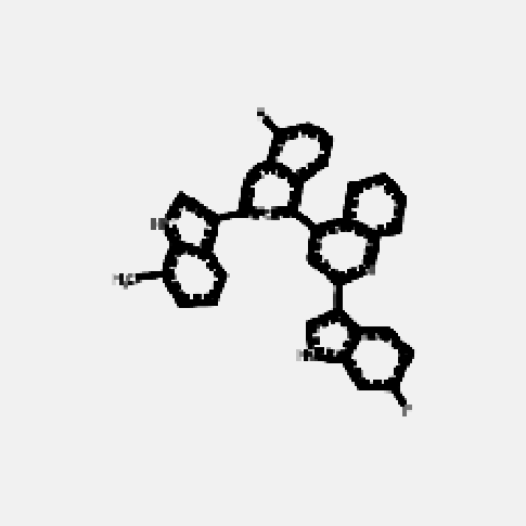 Cc1cccc2c(-c3cc(-c4cc(-c5c[nH]c6cc(F)ccc56)nc5ccccc45)c4cccc(F)c4c3)c[nH]c12